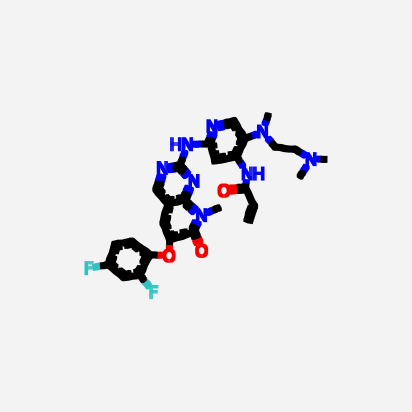 C=CC(=O)Nc1cc(Nc2ncc3cc(Oc4ccc(F)cc4F)c(=O)n(C)c3n2)ncc1N(C)CCN(C)C